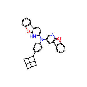 C1=C2c3ccccc3OC2NC(N(c2ccc(C3C4CC5CC6CC3C564)cc2)c2cnc3oc4ccccc4c3c2)=C1